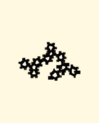 C1=CC(C2NC(C3=CCNC=C3)NC(c3cccc(-n4c5ccccc5c5cc(-c6ccc7c(c6)c6ccccc6n7-c6ccccc6)ccc54)c3)N2)=CCN1